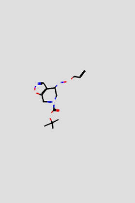 C=CCONC1CN(C(=O)OC(C)(C)C)Cc2oncc21